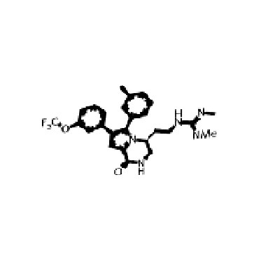 C/N=C(\NC)NCC[C@H]1CNC(=O)c2cc(-c3cccc(OC(F)(F)F)c3)c(-c3cccc(C)c3)n21